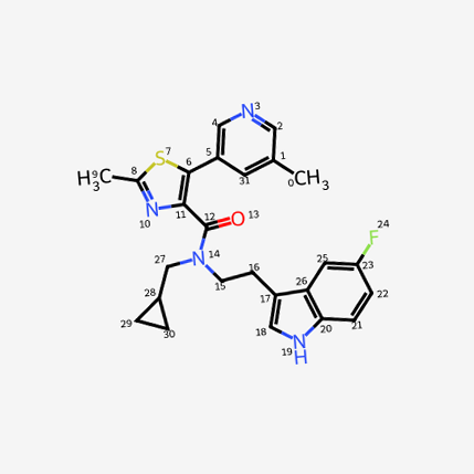 Cc1cncc(-c2sc(C)nc2C(=O)N(CCc2c[nH]c3ccc(F)cc23)CC2CC2)c1